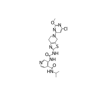 COc1nc(Cl)cc(N2CCc3nc(NC(=O)Nc4cnccc4C(=O)NC(C)C)sc3C2)n1